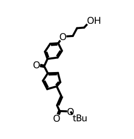 CC(C)(C)OC(=O)C=Cc1ccc(C(=O)c2ccc(OCCCO)cc2)cc1